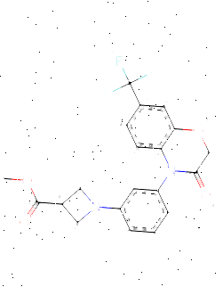 COC(=O)C1CN(c2cccc(N3C(=O)COc4cc(C(F)(F)F)ccc43)c2)C1